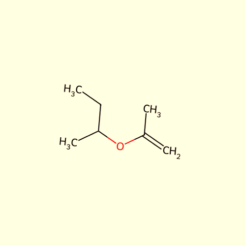 C=C(C)OC(C)CC